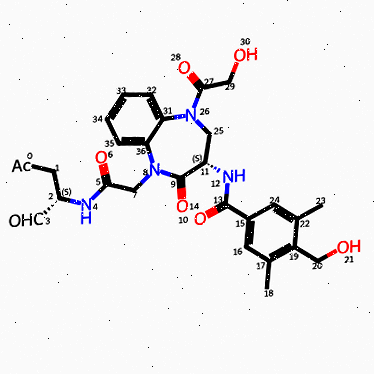 CC(=O)C[C@@H](C=O)NC(=O)CN1C(=O)[C@@H](NC(=O)c2cc(C)c(CO)c(C)c2)CN(C(=O)CO)c2ccccc21